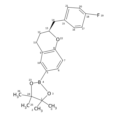 CC1(C)OB(c2ccc3c(c2)CC[C@@H](Cc2ccc(F)cc2)O3)OC1(C)C